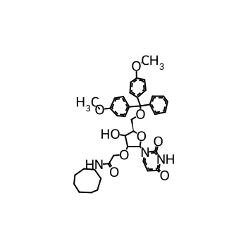 COc1ccc(C(OC[C@H]2O[C@@H](n3ccc(=O)[nH]c3=O)C(OCC(=O)NC3CCCCCCC3)C2O)(c2ccccc2)c2ccc(OC)cc2)cc1